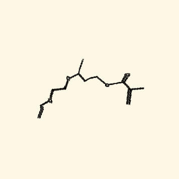 C=COCCOC(C)CCOC(=O)C(=C)C